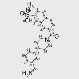 C[SH](C)(=O)c1ccc2ccc(C(=O)N3CCC(c4cccc(CN)c4)CC3)cc2c1